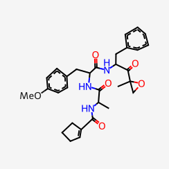 COc1ccc(CC(NC(=O)C(C)NC(=O)C2=CCCC2)C(=O)NC(Cc2ccccc2)C(=O)C2(C)CO2)cc1